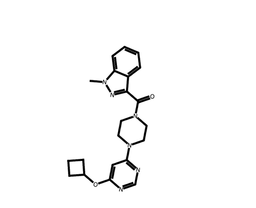 Cn1nc(C(=O)N2CCN(c3cc(OC4CCC4)ncn3)CC2)c2ccccc21